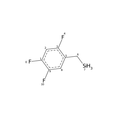 Fc1cc(F)c(C[SiH3])cc1F